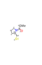 COC(=O)N1CCC[C@@H]1CS